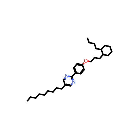 CCCCCCCCCc1cnc(-c2ccc(OCCCC3CCCCC3CCCC)cc2)nc1